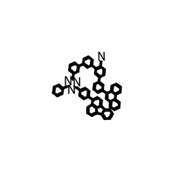 N#Cc1ccc(-c2cccc(-c3cc4ccccc4c4ccccc34)c2)cc1-c1cccc(-c2cccc(-c3nc(-c4ccccc4)nc(-c4ccc(-c5ccc6c7c(cccc57)-c5ccccc5-6)cc4)n3)c2)c1